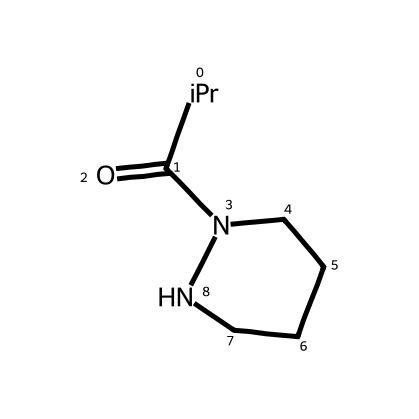 CC(C)C(=O)N1CCCCN1